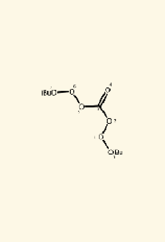 CC(C)COOOC(=O)OOOCC(C)C